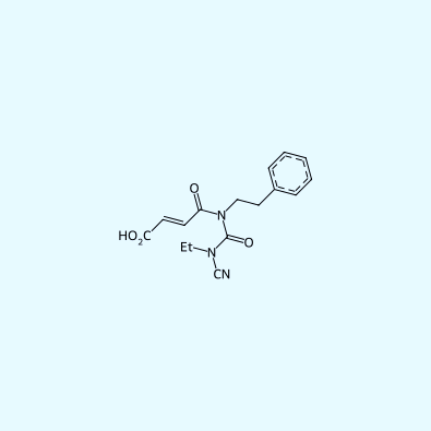 CCN(C#N)C(=O)N(CCc1ccccc1)C(=O)/C=C/C(=O)O